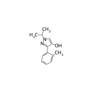 Cc1ccccc1-c1nn(C(C)C)cc1O